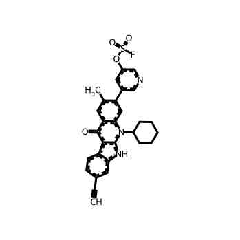 C#Cc1ccc2c(c1)[nH]c1c2c(=O)c2cc(C)c(-c3cncc(OS(=O)(=O)F)c3)cc2n1C1CCCCC1